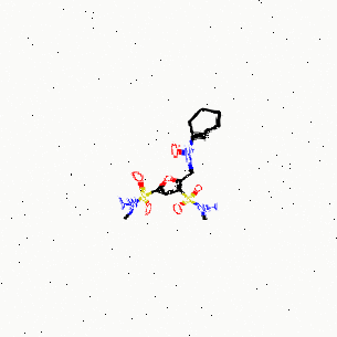 CNS(=O)(=O)c1cc(S(=O)(=O)NC)c(C=[N+]([O-])C2CCCCC2)o1